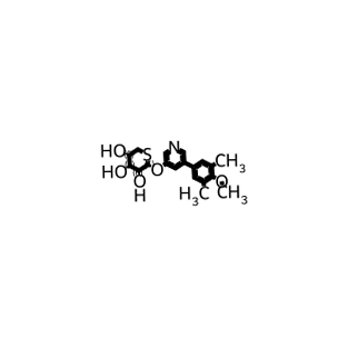 COc1c(C)cc(-c2cncc(O[C@H]3SC[C@@H](O)[C@H](O)[C@H]3O)c2)cc1C